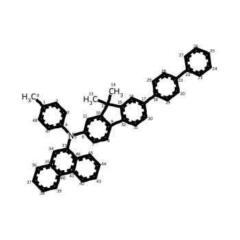 Cc1ccc(N(c2ccc3c(c2)C(C)(C)c2cc(-c4ccc(-c5ccccc5)cc4)ccc2-3)c2cc3ccccc3c3ccccc23)cc1